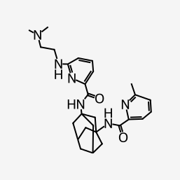 Cc1cccc(C(=O)NC23CC4CC(C2)CC(NC(=O)c2cccc(NCCN(C)C)n2)(C4)C3)n1